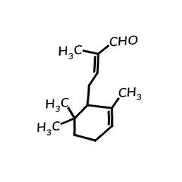 CC1=CCCC(C)(C)C1C/C=C(\C)C=O